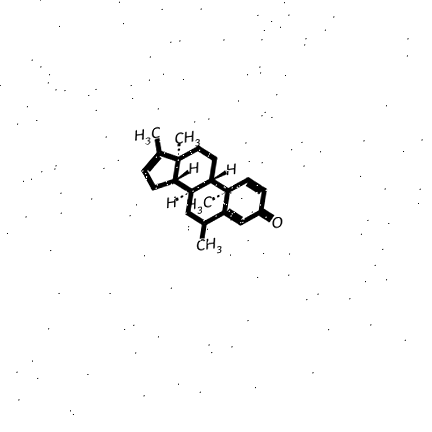 CC1=CC[C@H]2[C@@H]3CC(C)C4=CC(=O)C=C[C@]4(C)[C@H]3CC[C@]12C